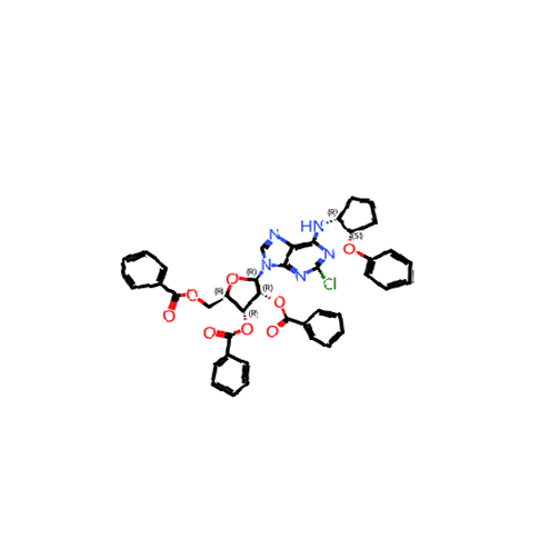 O=C(OC[C@H]1O[C@@H](n2cnc3c(N[C@@H]4CCC[C@@H]4Oc4ccccc4)nc(Cl)nc32)[C@H](OC(=O)c2ccccc2)[C@@H]1OC(=O)c1ccccc1)c1ccccc1